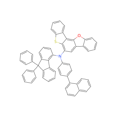 c1ccc(C2(c3ccccc3)c3ccccc3-c3c(N(c4ccc(-c5cccc6ccccc56)cc4)c4cc5c6ccccc6oc5c5c4sc4ccccc45)cccc32)cc1